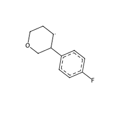 Fc1ccc(C2[CH]CCOC2)cc1